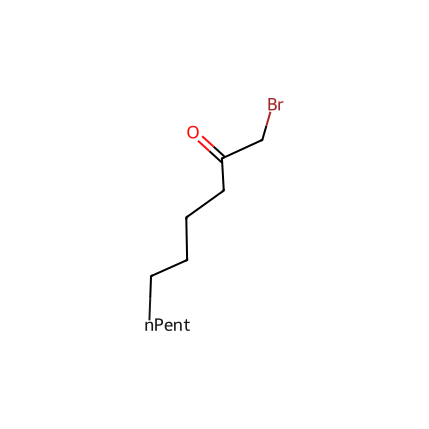 CCCCCCCCCC(=O)CBr